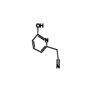 N#CCc1cccc(O)n1